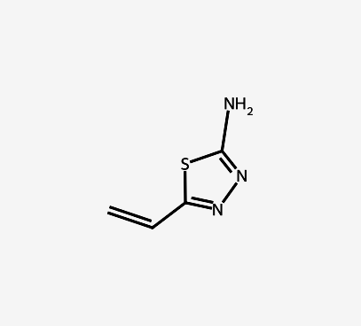 C=Cc1nnc(N)s1